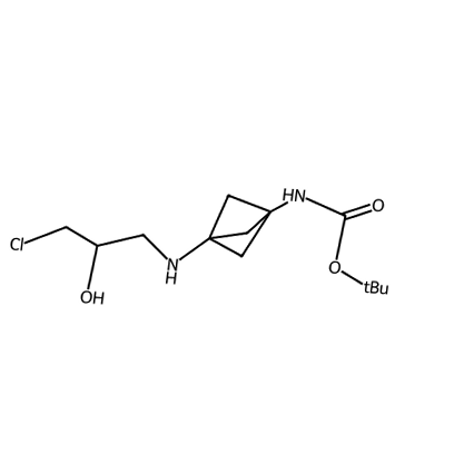 CC(C)(C)OC(=O)NC12CC(NCC(O)CCl)(C1)C2